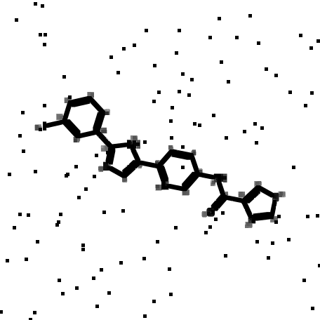 O=C(Nc1ccc(-c2cnc(-c3cccc(I)c3)[nH]2)nc1)c1cscn1